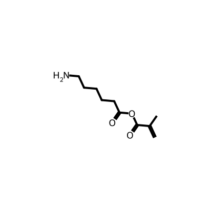 C=C(C)C(=O)OC(=O)CCCCCN